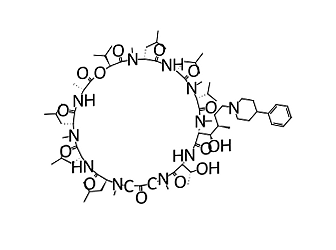 CC(C)C[C@@H]1C(=O)N[C@H](CC(C)C)C(=O)N(C)[C@H](C(C)C)C(=O)N(C)[C@H]([C@H](O)[C@H](C)CCN2CCC(c3ccccc3)CC2)C(=O)N[C@H]([C@@H](C)O)C(=O)N(C)CC(=O)CN(C)[C@@H](CC(C)C)C(=O)N[C@H](CC(C)C)C(=O)N(C)[C@H](CC(C)C)C(=O)N[C@H](C)C(=O)O[C@@H](C(C)C)C(=O)N1C